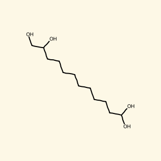 OCC(O)CCCCCCCCCC(O)O